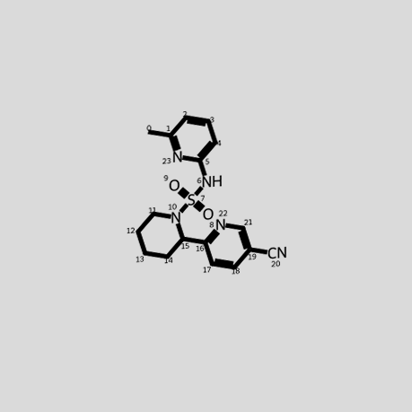 Cc1cccc(NS(=O)(=O)N2CCCCC2c2ccc(C#N)cn2)n1